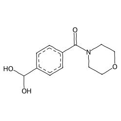 O=C(c1ccc(C(O)O)cc1)N1CCOCC1